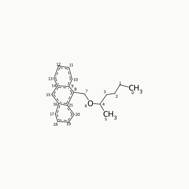 CCCCC(C)OCc1c2ccccc2cc2ccccc12